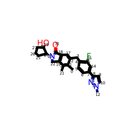 Cc1c(Cc2ccc(-c3ccn(C)n3)cc2F)cc2c(c1C)CN([C@@H]1CCC[C@H]1O)C2=O